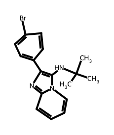 CC(C)(C)Nc1c(-c2ccc(Br)cc2)nc2ccccn12